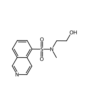 CN(CCO)S(=O)(=O)c1cccc2cnccc12